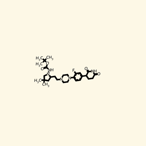 CC1(C)CC(CCN2CCN(c3ccc(C4CCC(=O)NC4=O)cc3F)CC2)N(NC(=O)OC(C)(C)C)C1